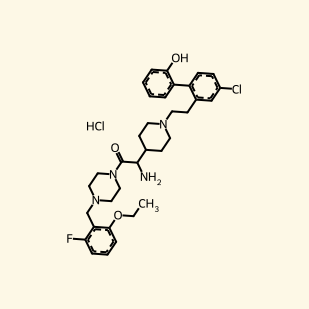 CCOc1cccc(F)c1CN1CCN(C(=O)C(N)C2CCN(CCc3cc(Cl)ccc3-c3ccccc3O)CC2)CC1.Cl